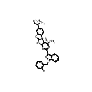 CC(CC(=O)O)c1ccc([C@]2(C)C(=O)Nc3nc(-c4nn(Cc5ccccc5F)c5ccccc45)nc(N)c32)cc1